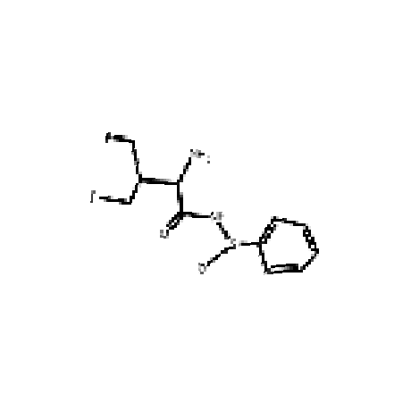 NC(C(=O)N[S+]([O-])c1ccccc1)C(CF)CF